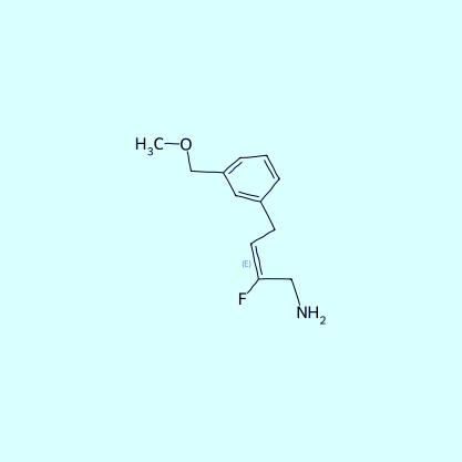 COCc1cccc(C/C=C(/F)CN)c1